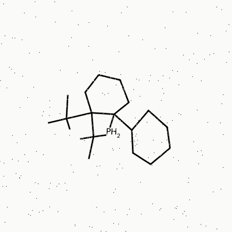 CC(C)(C)C1(C(C)(C)C)CCCCC1(P)C1CCCCC1